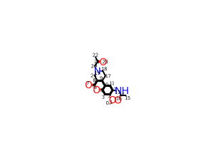 COc1cc2oc(=O)c3c(c2cc1NC(C)=O)CCN(CC(C)=O)C3